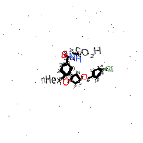 CCCCCCC(Oc1ccc(OCc2ccc(Cl)cc2)cc1)c1ccc(C(=O)NCCC(=O)O)cc1